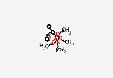 CCCCOC[C@H]1OC(c2ccc(-c3ccccc3)c(Cc3cc4ccccc4s3)c2)[C@H](OCCCC)[C@@H](OCCCC)[C@@H]1OCCCC